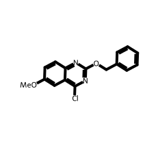 COc1ccc2nc(OCc3ccccc3)nc(Cl)c2c1